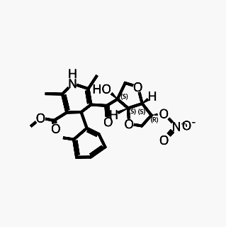 COC(=O)C1=C(C)NC(C)=C(C(=O)[C@]2(O)CO[C@@H]3[C@H](O[N+](=O)[O-])CO[C@@H]32)C1c1ccccc1C